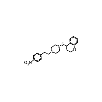 O=[N+]([O-])c1ccc(CCN2CCN(SC3CCOc4ccccc43)CC2)cc1